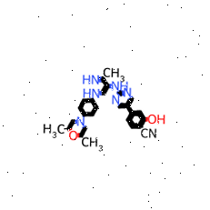 CC(=N)/C(=C\N[C@H]1CC[C@H](N2C[C@@H](C)O[C@@H](C)C2)CC1)Nc1ncc(-c2ccc(C#N)c(O)c2)cn1